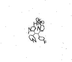 CS(=O)(=O)Nc1cccc(C(c2ccc(F)cc2)C(c2cccnc2)c2cccnc2F)n1